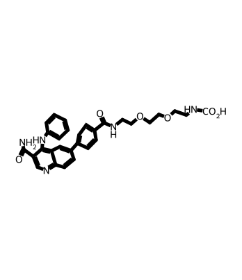 NC(=O)c1cnc2ccc(-c3ccc(C(=O)NCCOCCOCCNC(=O)O)cc3)cc2c1Nc1ccccc1